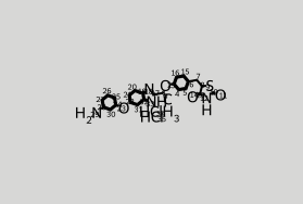 CC(Oc1ccc(CC2SC(=O)NC2=O)cc1)c1nc2ccc(Oc3cccc(N)c3)cc2[nH]1.Cl.Cl